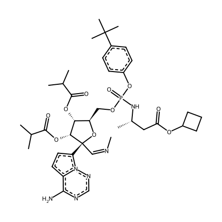 C/N=C\[C@@]1(c2ccc3c(N)ncnn23)O[C@H](COP(=O)(N[C@@H](C)CC(=O)OC2CCC2)Oc2ccc(C(C)(C)C)cc2)[C@@H](OC(=O)C(C)C)[C@H]1OC(=O)C(C)C